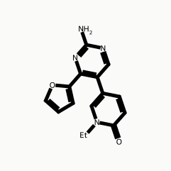 CCn1cc(-c2cnc(N)nc2-c2ccco2)ccc1=O